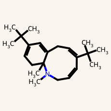 CN1C/C=C\C(C(C)(C)C)=C/CC2=CC(C(C)(C)C)=CCC21C